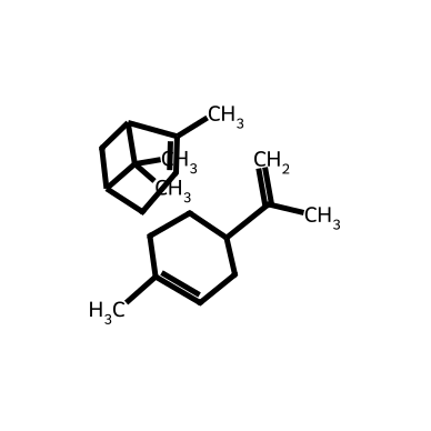 C=C(C)C1CC=C(C)CC1.CC1=CCC2CC1C2(C)C